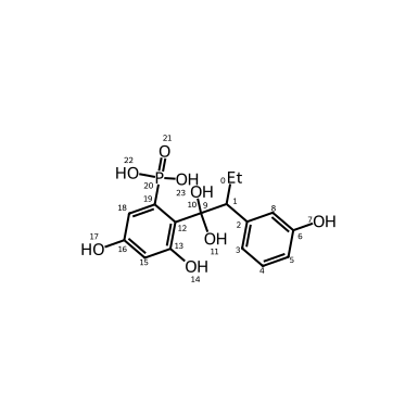 CCC(c1cccc(O)c1)C(O)(O)c1c(O)cc(O)cc1P(=O)(O)O